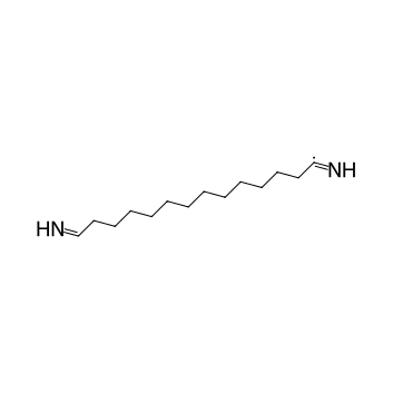 N=[C]CCCCCCCCCCCCC=N